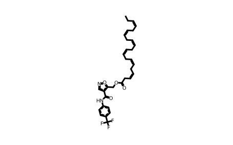 CC/C=C\C/C=C\C/C=C\C/C=C\C/C=C\C/C=C\CC(=O)OCc1oncc1C(=O)Nc1ccc(C(F)(F)F)cc1